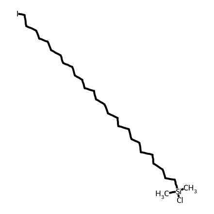 C[Si](C)(Cl)CCCCCCCCCCCCCCCCCCCCCCCCCCCI